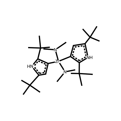 C[N](C)[Zr]([c]1cc(C(C)(C)C)[nH]c1C(C)(C)C)([c]1cc(C(C)(C)C)[nH]c1C(C)(C)C)[N](C)C